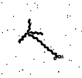 CCCCCC[N+](CCCCCC)(CCCCCC)CCCCCCCCCCCCCCC(=O)O